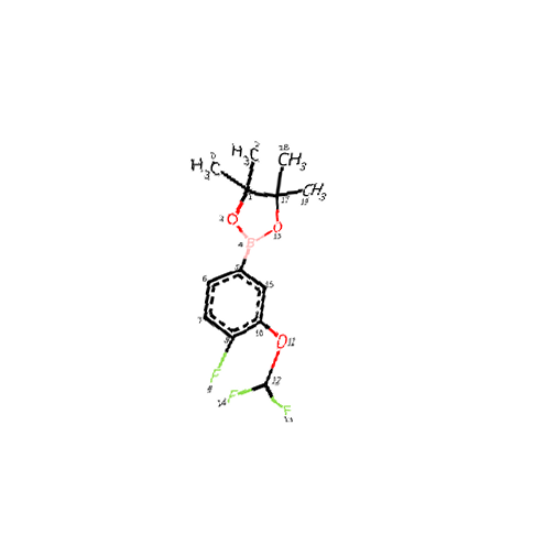 CC1(C)OB(c2ccc(F)c(OC(F)F)c2)OC1(C)C